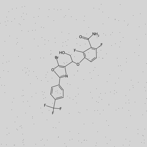 NC(=O)c1c(F)ccc(OC(CO)c2nc(-c3ccc(C(F)(F)F)cc3)oc2Br)c1F